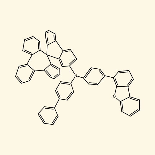 c1ccc(-c2ccc(N(c3ccc(-c4cccc5c4oc4ccccc45)cc3)c3ccc4c(c3)C3(c5ccccc5-c5ccccc5-c5ccccc53)c3ccccc3-4)cc2)cc1